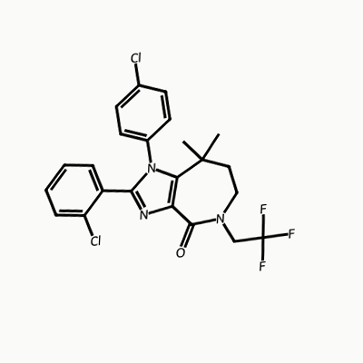 CC1(C)CCN(CC(F)(F)F)C(=O)c2nc(-c3ccccc3Cl)n(-c3ccc(Cl)cc3)c21